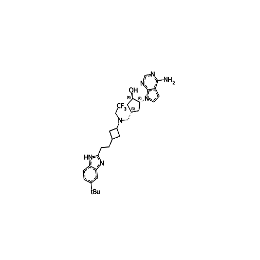 CC(C)(C)c1ccc2[nH]c(CCC3CC(N(C[C@@H]4C[C@@H](O)[C@H](n5ccc6c(N)ncnc65)C4)CC(F)(F)F)C3)nc2c1